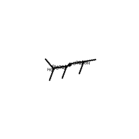 CCCCCCCCCCCCC(O)CN(CCCOCCOCCOCCCN(CC(O)CCCCCCCCCCCC)CC(O)CCCCCCCCCCCC)CCN1CCN(CCCOCCOCCOCCCN(CC(O)CCCCCCCCCCCC)CC(O)CCCCCCCCCCCC)CC1